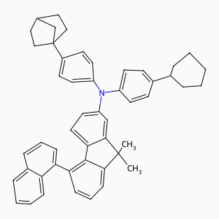 CC1(C)c2cc(N(c3ccc(C4CCCCC4)cc3)c3ccc(C45CCC(CC4)C5)cc3)ccc2-c2c(-c3cccc4ccccc34)cccc21